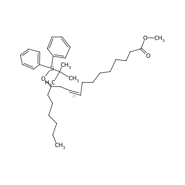 CCCCCCC(C/C=C\CCCCCCCC(=O)OC)O[Si](c1ccccc1)(c1ccccc1)C(C)(C)C